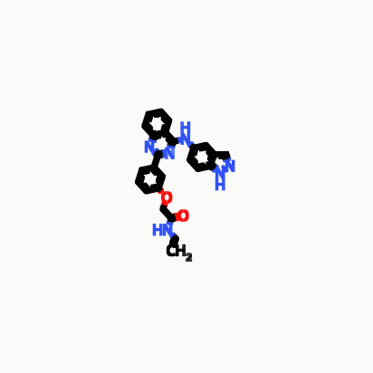 C=CNC(=O)COc1cccc(-c2nc(Nc3ccc4[nH]ncc4c3)c3ccccc3n2)c1